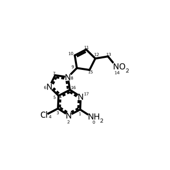 Nc1nc(Cl)c2ncn(C3C=CC(C[N+](=O)[O-])C3)c2n1